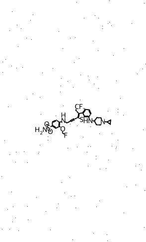 NS(=O)(=O)c1ccc(NCC#Cc2sc3c(NC4CCN(C5CC5)CC4)cccc3c2CC(F)(F)F)c(OCF)c1